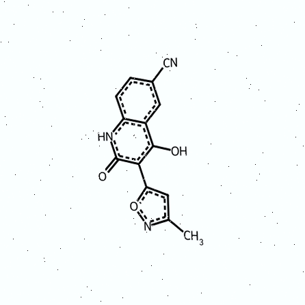 Cc1cc(-c2c(O)c3cc(C#N)ccc3[nH]c2=O)on1